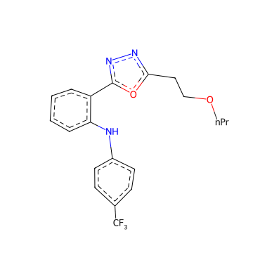 CCCOCCc1nnc(-c2ccccc2Nc2ccc(C(F)(F)F)cc2)o1